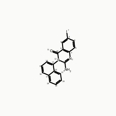 Nc1nc2ccc(I)cc2c(=O)n1-c1cccc2ccccc12